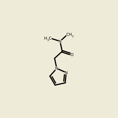 CN(C)C(=O)Cn1cc[c]n1